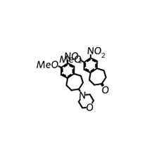 COc1cc2c(cc1[N+](=O)[O-])CCC(=O)CC2.COc1cc2c(cc1[N+](=O)[O-])CCC(N1CCOCC1)CC2